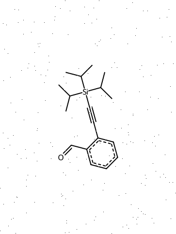 CC(C)[Si](C#Cc1ccccc1C=O)(C(C)C)C(C)C